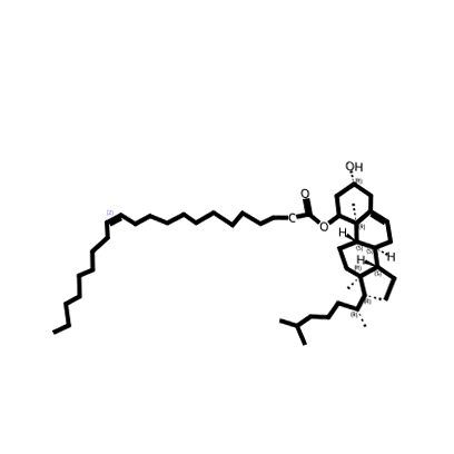 CCCCCCCC/C=C\CCCCCCCCCCCC(=O)OC1C[C@H](O)CC2=CC[C@H]3[C@@H]4CC[C@H]([C@H](C)CCCC(C)C)[C@@]4(C)CC[C@@H]3[C@]21C